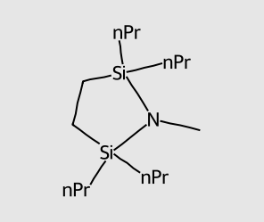 CCC[Si]1(CCC)CC[Si](CCC)(CCC)N1C